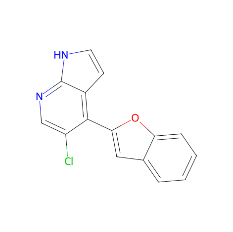 Clc1cnc2[nH]ccc2c1-c1cc2ccccc2o1